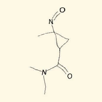 CN(C)C(=O)C1CC1(C)N=O